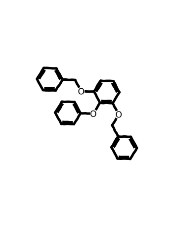 c1ccc(COc2cccc(OCc3ccccc3)c2Oc2ccccc2)cc1